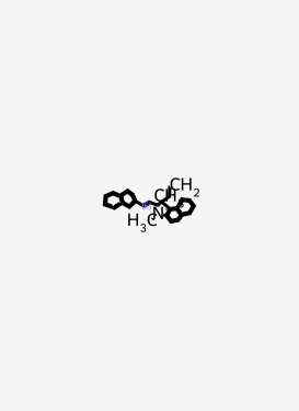 C=CCC1(C)C(/C=C/c2ccc3ccccc3c2)=[N+](C)c2ccc3ccccc3c21